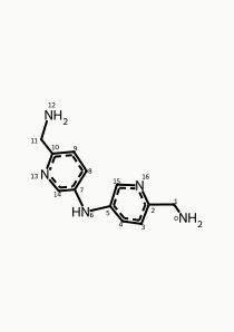 NCc1ccc(Nc2ccc(CN)nc2)cn1